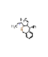 C=CC1=C(/C=C\C)SCc2ccccc2C1C(C)C